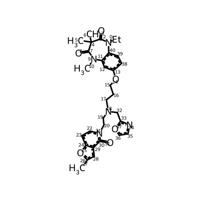 CCN1C(=O)C(C)(C)C(=O)N(C)c2cc(OCCCN(CCn3ccc4oc(C)cc4c3=O)Cc3ncco3)ccc21